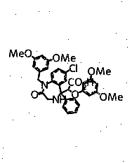 COc1cc(CN2C(=O)CNC(c3ccccc3)(C(Oc3cc(OC)cc(OC)c3)C(=O)O)c3cc(Cl)ccc32)cc(OC)c1